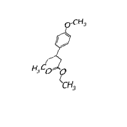 CCOC(=O)CC(CC)c1ccc(OC)cc1